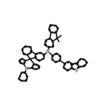 CC1(C)c2ccccc2-c2ccc(N(c3ccc(-c4ccc5sc6ccccc6c5c4)cc3)c3ccc4c(c3)-c3ccccc3C43c4ccccc4N(c4ccccc4)c4ccccc43)cc21